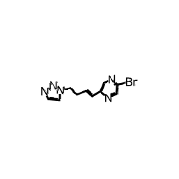 Brc1cnc(/C=C/CCn2ccnn2)cn1